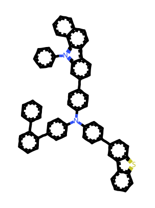 c1ccc(-c2ccccc2-c2ccc(N(c3ccc(-c4ccc5sc6ccccc6c5c4)cc3)c3ccc(-c4ccc5c6ccc7ccccc7c6n(-c6ccccc6)c5c4)cc3)cc2)cc1